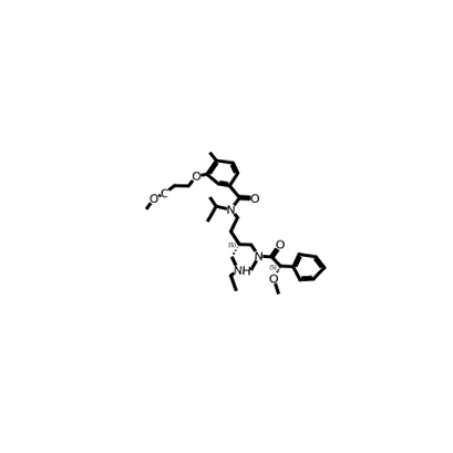 CCNC[C@H](CCN(C(=O)c1ccc(C)c(OCCCOC)c1)C(C)C)CN(C)C(=O)[C@@H](OC)c1ccccc1